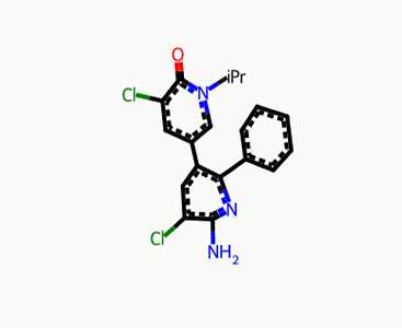 CC(C)n1cc(-c2cc(Cl)c(N)nc2-c2ccccc2)cc(Cl)c1=O